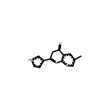 Cc1cnc2c(c1)C(=O)CC(c1cc[nH]c1)=N2